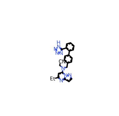 CCc1cc(N(CC#N)Cc2ccc(-c3ccccc3-c3nnn[nH]3)cc2)n2nccc2n1